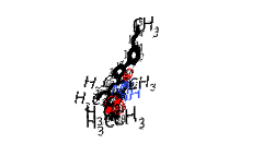 C=CC(CC1(c2cc(-c3cccc(CCC)c3)ccc2C)N=C(NC(=O)OC(C)(C)C)N(C)C1=O)c1ccccc1